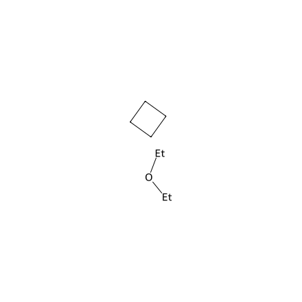 C1CCC1.CCOCC